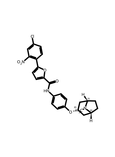 CN1[C@@H]2CC[C@H]1C[C@@H](Oc1ccc(NC(=O)c3ccc(-c4ccc(Cl)cc4[N+](=O)[O-])o3)cc1)C2